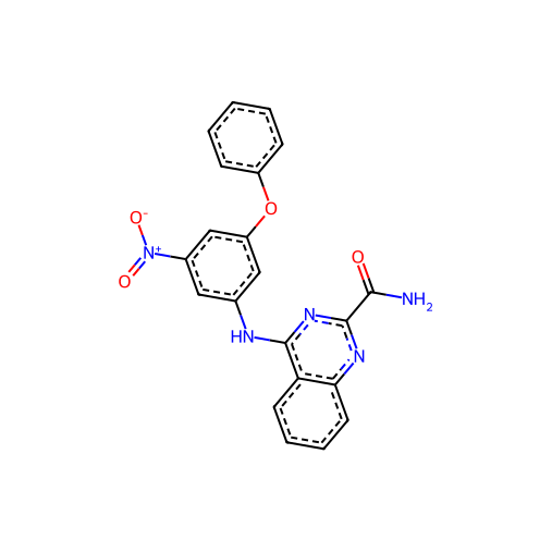 NC(=O)c1nc(Nc2cc(Oc3ccccc3)cc([N+](=O)[O-])c2)c2ccccc2n1